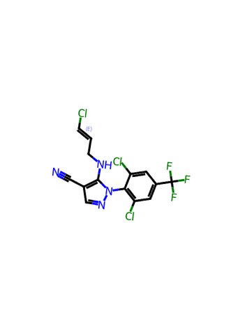 N#Cc1cnn(-c2c(Cl)cc(C(F)(F)F)cc2Cl)c1NC/C=C/Cl